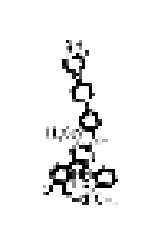 COc1cc(N2CCC(N3CCN(C)CC3)CC2)ccc1Nc1ncc(-c2ccc(O)c(C=O)c2)c(Nc2ccccc2P(C)(C)=O)n1